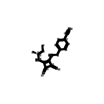 CC[C@@H](C)Nc1c(NCc2ccc(C#N)cc2)c(=O)c1=O